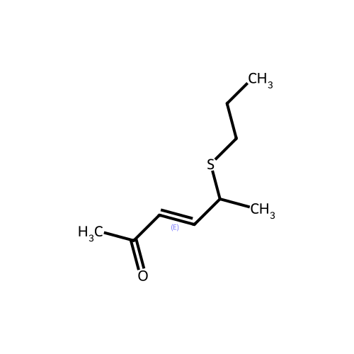 CCCSC(C)/C=C/C(C)=O